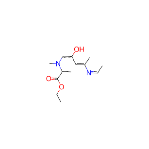 C\C=N/C(C)=C/C(O)=C\N(C)C(C)C(=O)OCC